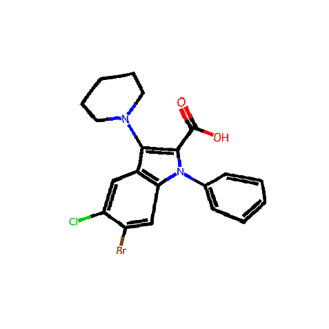 O=C(O)c1c(N2CCCCC2)c2cc(Cl)c(Br)cc2n1-c1ccccc1